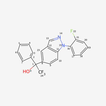 OC(c1ccccc1)(c1ccc2c(cnn2-c2ccccc2F)c1)C(F)(F)F